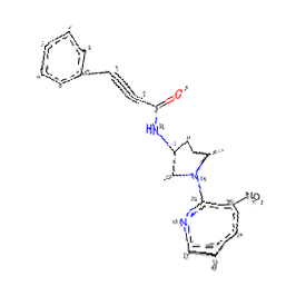 O=C(C#Cc1ccccc1)NC1CCN(c2ncccc2[N+](=O)[O-])C1